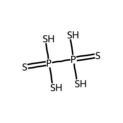 S=P(S)(S)P(=S)(S)S